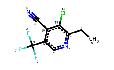 CCc1ncc(C(F)(F)F)c(C#N)c1Cl